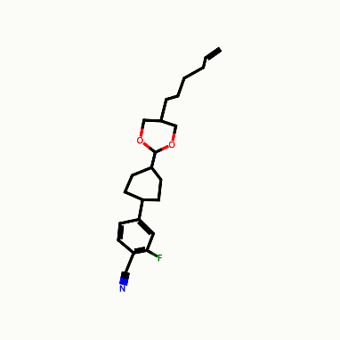 C=CCCCCC1COC(C2CCC(c3ccc(C#N)c(F)c3)CC2)OC1